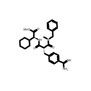 COC(=O)[C@@H](NC(=O)[C@@H](Cc1ccc(C(=N)N)cc1)C(=O)N(C)Cc1ccccc1)C1CCCCC1